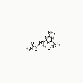 N#CNC(N)=O.Nc1nc(N)nc(N)n1.[O]=[Ti]=[O]